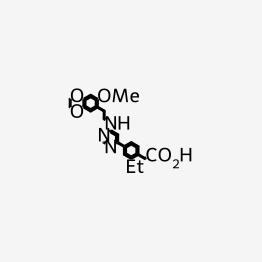 CCc1cc(-c2cc(NCCc3cc4c(cc3OC)OCCO4)ncn2)ccc1CC(=O)O